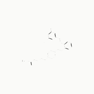 CC(C)COC(=O)COCCN1CCN(CCc2ccccc2OCc2cc(C(F)(F)F)cc(C(F)(F)F)c2)CC1